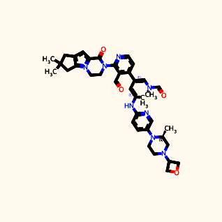 C/C(=C\C(=C/N(C)C=O)c1ccnc(N2CCn3c(cc4c3CC(C)(C)C4)C2=O)c1C=O)Nc1ccc(N2CCN(C3COC3)C[C@@H]2C)cn1